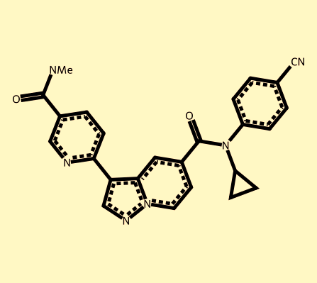 CNC(=O)c1ccc(-c2cnn3ccc(C(=O)N(c4ccc(C#N)cc4)C4CC4)cc23)nc1